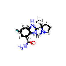 CC(C)N1CCCC1(C)c1nc2c(C(N)=O)cc(F)cc2[nH]1